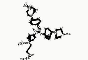 CCCN(CCNC=O)c1ccc(OP(Oc2ccc(N3CCN(C(C)=O)CC3)cc2)Oc2ccc(N3CCN(C(C)=O)CC3)cc2)cc1